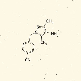 Cc1nn(Cc2ccc(C#N)cc2)c(C(F)(F)F)c1N